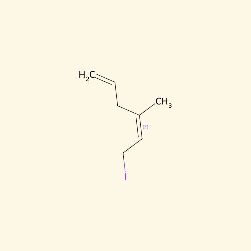 C=CC/C(C)=C\CI